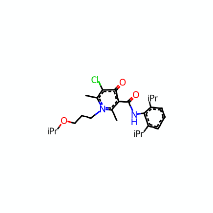 Cc1c(Cl)c(=O)c(C(=O)Nc2c(C(C)C)cccc2C(C)C)c(C)n1CCCOC(C)C